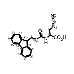 [N-]=[N+]=NCC(NC(=O)OCC1c2ccccc2-c2ccccc21)C(=O)O